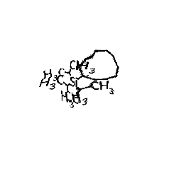 CC(C)[Si]([C]1CCCCCCCCC1)(C(C)C)C(C)C